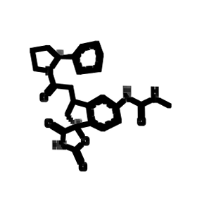 CNC(=O)Nc1ccc2c(c1)C(CC(=O)N1CCC[C@H]1c1ccccc1)C[C@@]21OC(=O)NC1=O